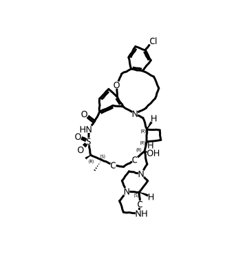 C[C@@H]1[C@@H](C)CCC[C@](O)(CN2CCN3CCNC[C@H]3C2)[C@@H]2CC[C@H]2CN2CCCCc3cc(Cl)ccc3COc3ccc(cc32)C(=O)NS1(=O)=O